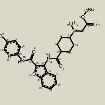 CN(CC(=O)OC(C)(C)C)C1CCC(C(=O)Nc2c(C(=O)Nc3ccc(Cl)cn3)oc3ccccc23)CC1